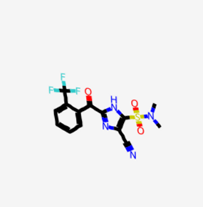 CN(C)S(=O)(=O)c1[nH]c(C(=O)c2ccccc2C(F)(F)F)nc1C#N